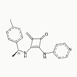 C=C1C(=O)C(Nc2ccncc2)=C1N[C@@H](C)c1ccc(C)cc1